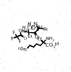 CCC(N)(C(=O)O)C(=O)C(N)C(C)C.CCCCCCCCCCCCCCC(N)(CC)C(=O)O.O=C(O)C(F)(F)F